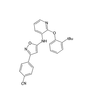 CC(C)(C)c1ccccc1Oc1ncccc1Nc1cc(-c2ccc(C#N)cc2)no1